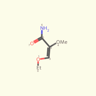 CCOC=C(OC)C(N)=O